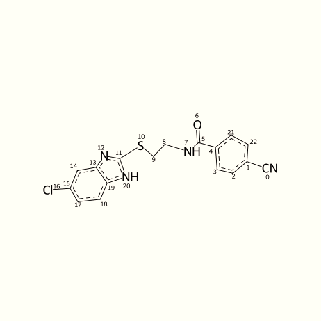 N#Cc1ccc(C(=O)NCCSc2nc3cc(Cl)ccc3[nH]2)cc1